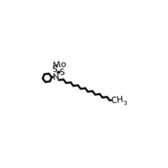 CCCCCCCCCCCCCCCCN(C(=S)[S][Mo])C1CCCCC1